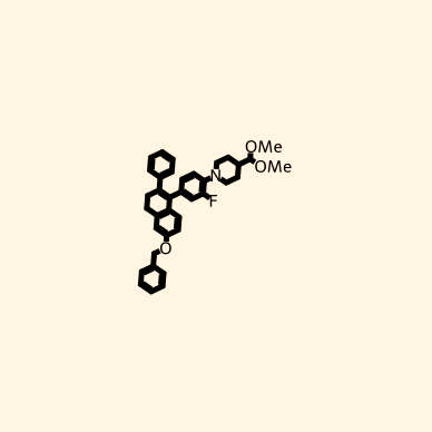 COC(OC)C1CCN(c2ccc(C3=C(c4ccccc4)CCc4cc(OCc5ccccc5)ccc43)cc2F)CC1